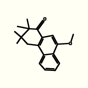 COc1cc2c(c3ccccc13)CC(C)(C)C(C)(C)C2=O